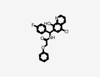 O=C(COc1ccccc1)NC(c1ccc(F)cc1)c1cc(Cl)c2cccnc2c1O